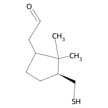 CC1(C)C(CC=O)CC[C@@H]1CS